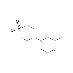 O=S1(=O)CCC(N2CCOC(I)C2)CC1